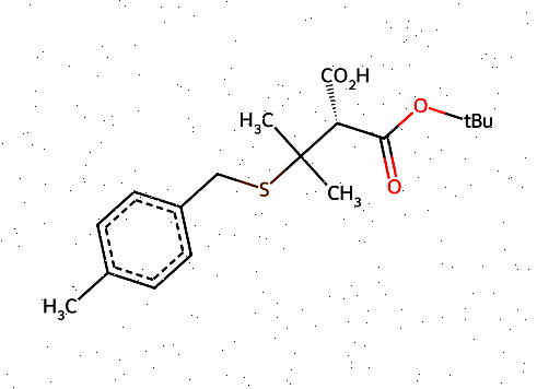 Cc1ccc(CSC(C)(C)[C@H](C(=O)O)C(=O)OC(C)(C)C)cc1